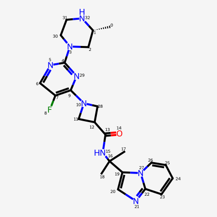 C[C@@H]1CN(c2ncc(F)c(N3CC(C(=O)NC(C)(C)c4cnc5ccccn45)C3)n2)CCN1